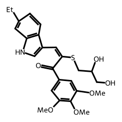 CCc1ccc2c(/C=C(/SCC(O)CO)C(=O)c3cc(OC)c(OC)c(OC)c3)c[nH]c2c1